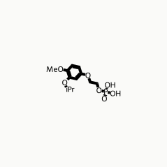 COc1ccc(OCCOP(=O)(O)O)cc1OC(C)C